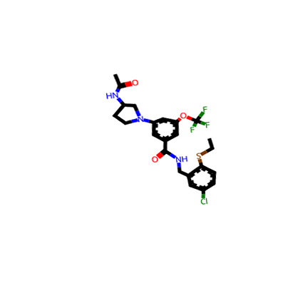 CCSc1ccc(Cl)cc1CNC(=O)c1cc(OC(F)(F)F)cc(N2CCC(NC(C)=O)C2)c1